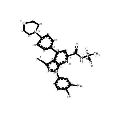 CC(C)c1nn(-c2ccc(F)c(F)c2)c2nc(C(=O)NS(C)(=O)=O)cc(-c3ccc(N4CCOCC4)cc3)c12